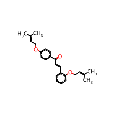 CC(C)=CCOc1ccc(C(=O)/C=C/c2ccccc2OCC=C(C)C)cc1